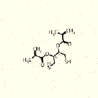 C=C(C)C(=O)O[C@@H](CS)[C@@H](CS)OC(=O)C(=C)C